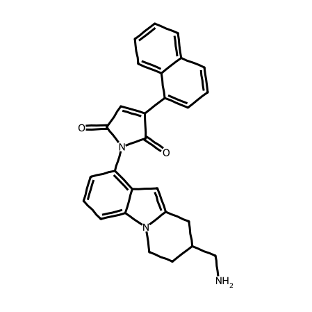 NCC1CCn2c(cc3c(N4C(=O)C=C(c5cccc6ccccc56)C4=O)cccc32)C1